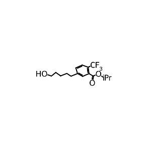 CC(C)OC(=O)c1cc(CCCCCO)ccc1C(F)(F)F